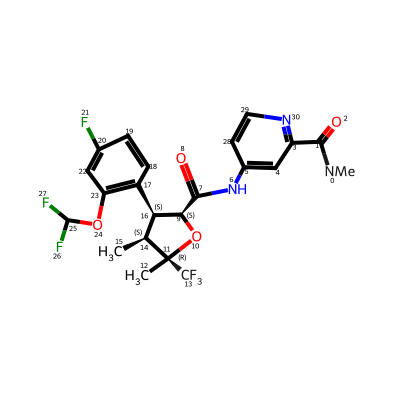 CNC(=O)c1cc(NC(=O)[C@H]2O[C@@](C)(C(F)(F)F)[C@@H](C)[C@H]2c2ccc(F)cc2OC(F)F)ccn1